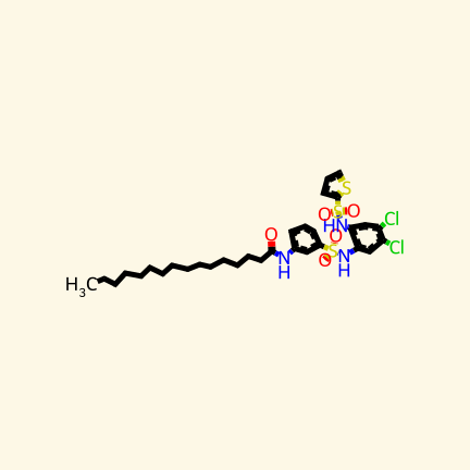 CCCCCCCCCCCCCCCC(=O)Nc1cccc(S(=O)(=O)Nc2cc(Cl)c(Cl)cc2NS(=O)(=O)c2cccs2)c1